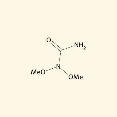 CON(OC)C(N)=O